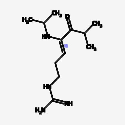 CC(C)N/C(=C\CCNC(=N)N)C(=O)C(C)C